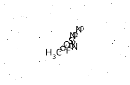 Cc1ccc(Oc2ccnc3cc(-c4ccc(CN5CCCC5)cn4)sc23)c(F)c1